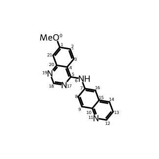 COc1[c]cc2c(Nc3ccc4ncccc4c3)ncnc2c1